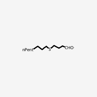 CCCCCCCCSCCC[C]=O